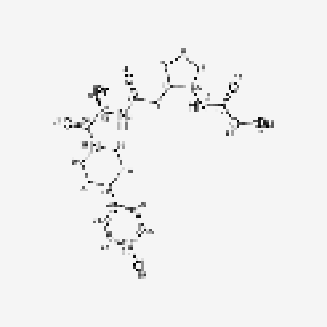 CC(C)[C@@H](NC(=O)CC1CCCC1NC(=O)OC(C)(C)C)C(=O)N1CCC(c2ccc(Cl)cc2)CC1